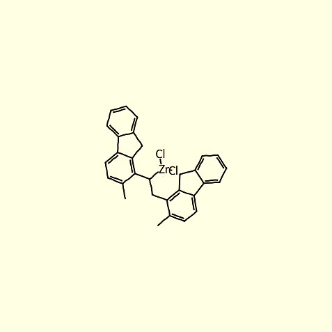 Cc1ccc2c(c1C[CH](c1c(C)ccc3c1Cc1ccccc1-3)[Zr]([Cl])[Cl])Cc1ccccc1-2